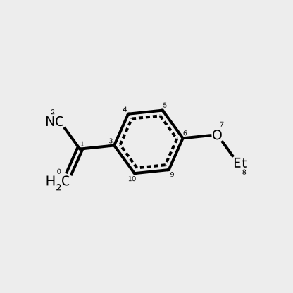 C=C(C#N)c1ccc(OCC)cc1